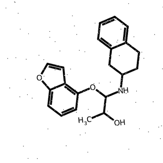 CC(O)C(NC1CCc2ccccc2C1)Oc1cccc2occc12